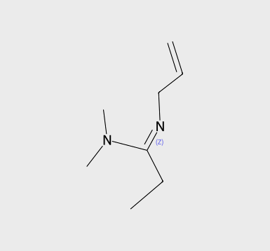 C=CC/N=C(/CC)N(C)C